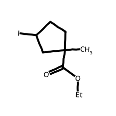 CCOC(=O)C1(C)CCC(I)C1